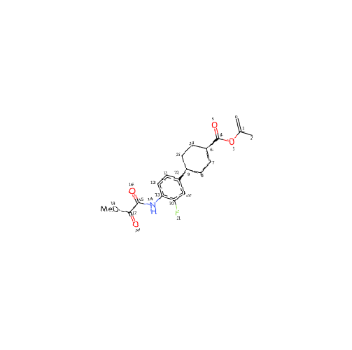 C=C(C)OC(=O)[C@H]1CC[C@@H](c2ccc(NC(=O)C(=O)OC)c(F)c2)CC1